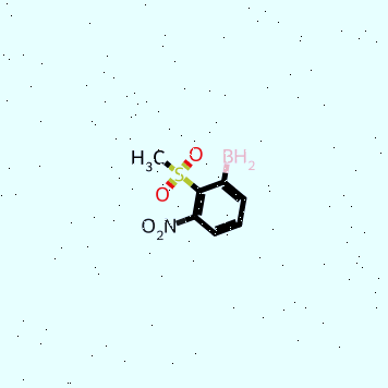 Bc1cccc([N+](=O)[O-])c1S(C)(=O)=O